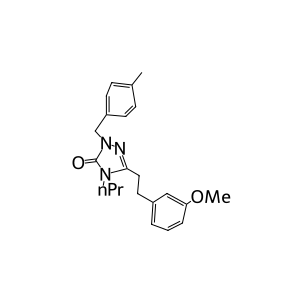 CCCn1c(CCc2cccc(OC)c2)nn(Cc2ccc(C)cc2)c1=O